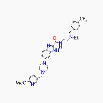 CCN(CCNC(=O)c1nc2ccc(N3CCN(Cc4ccc(OC)nc4)CC3)cc2[nH]1)Cc1ccc(C(F)(F)F)cc1